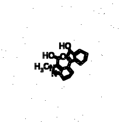 Cn1nc2cccc(C3=CC(O)c4ccccc43)c2c1C(=O)O